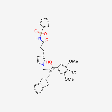 CCc1c(OC)cc([C@@H](O)[C@H](CC2Cc3ccccc3C2)Cn2ccc(CCC(=O)NS(=O)(=O)c3ccccc3)c2)cc1OC